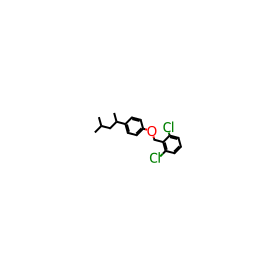 CC(C)CC(C)c1ccc(OCc2c(Cl)cccc2Cl)cc1